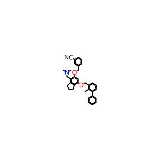 Cc1c(COc2cc(OCc3cccc(C#N)c3)c(CN(C)C)c3c2CCC3)cccc1-c1ccccc1